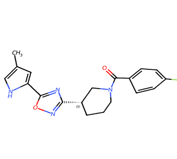 Cc1c[nH]c(-c2nc([C@H]3CCCN(C(=O)c4ccc(F)cc4)C3)no2)c1